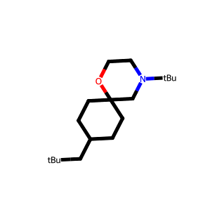 CC(C)(C)CC1CCC2(CC1)CN(C(C)(C)C)CCO2